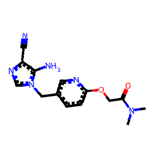 CN(C)C(=O)COc1ccc(Cn2cnc(C#N)c2N)cn1